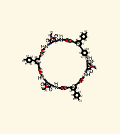 C/C=C1\C(=O)/C2=C/Nc3ccc(cc3)-c3cc(-c4ccc(C)cc4)cc(c3)-c3ccc(cc3)N/C=C3\C(=O)/C(=C/C)C(=O)/C(=C/Nc4ccc(cc4)-c4cc(-c5ccc(C)cc5)cc(c4)-c4ccc(cc4)N/C=C4\C(=O)/C(=C/C)C(=O)/C(=C/Nc5ccc(cc5)-c5cc(-c6ccc(C)cc6)cc(c5)-c5ccc(cc5)N/C=C(\C1=O)C2=O)C4=O)C3=O